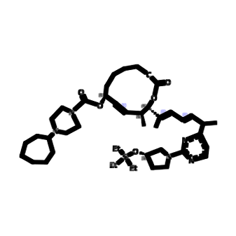 CC[Si](CC)(CC)O[C@H]1CCN(c2nccc(C(C)/C=C/C=C(\C)[C@H]3OC(=O)CCCCC[C@H](OC(=O)N4CCN(C5CCCCCC5)CC4)/C=C/[C@@H]3C)n2)C1